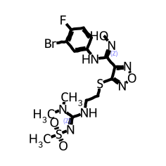 CN(C)/C(=N\S(C)(=O)=O)NCCSc1nonc1/C(=N/O)Nc1ccc(F)c(Br)c1